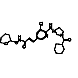 O=C(C=Cc1cnc(N[C@@H]2CCN(C(=O)C3CCCCC3)C2)c(Cl)c1)NOC1CCCCO1